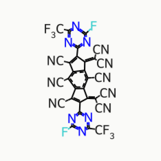 N#CC(C#N)=C1C(c2nc(F)nc(C(F)(F)F)n2)=C(C#N)c2c(C#N)c3c(c(C#N)c21)C(=C(C#N)C#N)C(c1nc(F)nc(C(F)(F)F)n1)=C3C#N